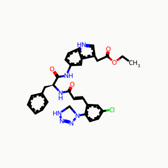 CCOC(=O)Cc1c[nH]c2ccc(NC(=O)[C@H](Cc3ccccc3)NC(=O)/C=C/c3cc(Cl)ccc3N3CNN=N3)cc12